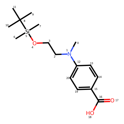 CN(CCO[Si](C)(C)C(C)(C)C)c1ccc(C(=O)O)cc1